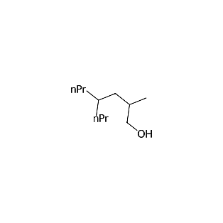 CCCC(CCC)CC(C)CO